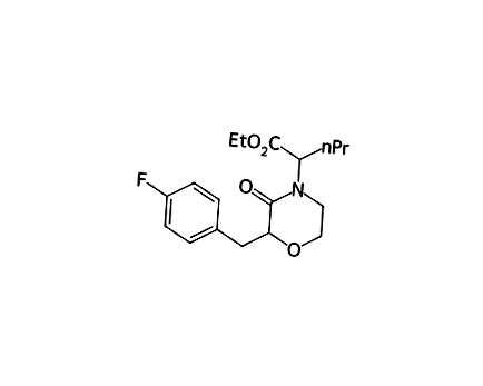 CCCC(C(=O)OCC)N1CCOC(Cc2ccc(F)cc2)C1=O